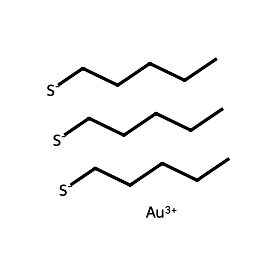 CCCCC[S-].CCCCC[S-].CCCCC[S-].[Au+3]